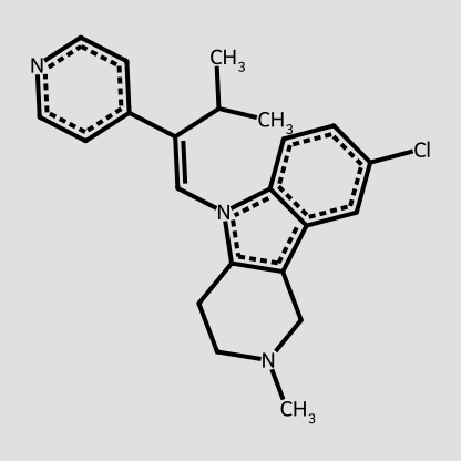 CC(C)C(=Cn1c2c(c3cc(Cl)ccc31)CN(C)CC2)c1ccncc1